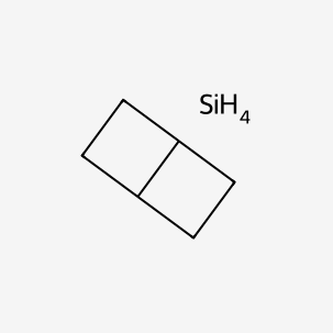 C1CC2CCC12.[SiH4]